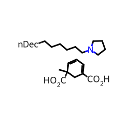 CC1(C(=O)O)C=CC=C(C(=O)O)C1.CCCCCCCCCCCCCCCCN1CCCC1